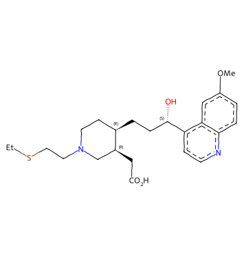 CCSCCN1CC[C@@H](CC[C@H](O)c2ccnc3ccc(OC)cc23)[C@@H](CC(=O)O)C1